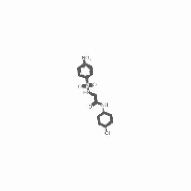 O=C(CNS(=O)(=O)c1ccc([N+](=O)[O-])cc1)N[C@H]1CC[C@H](O)CC1